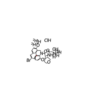 Cl.[2H]C([2H])([2H])N[C@@H](C)C(=O)N[C@@H]1C(=O)N(Cc2c(OC([2H])([2H])[2H])ccc3cc(Br)ccc23)c2ccccc2OC12CCOCC2